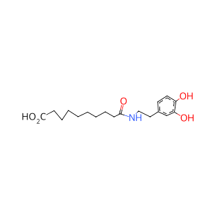 O=C(O)CCCCCCCCC(=O)NCCc1ccc(O)c(O)c1